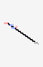 CCCCCCCC/C=C/CCCCCCCC(=O)NCCNCCO